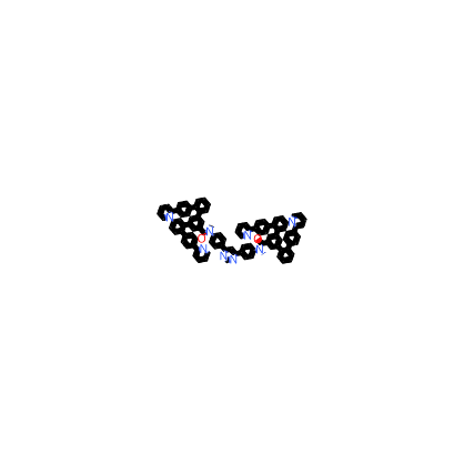 CN(C(=O)c1cc(-c2ccccc2-c2ccc(-c3ccccn3)cc2)cc(-c2ccccc2-c2ccc(-c3ccccn3)cc2)c1)c1ccc(-c2cc(-c3ccc(N(C)C(=O)c4cc(-c5ccccc5-c5ccc(-c6ccccn6)cc5)cc(-c5ccccc5-c5ccc(-c6ccccn6)cc5)c4)cc3)ncn2)cc1